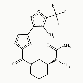 CC(=O)N(C)[C@H]1CCCN(C(=O)c2ccc(-c3noc(C(F)(F)F)c3C)s2)C1